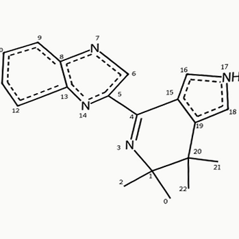 CC1(C)N=C(c2cnc3ccccc3n2)c2c[nH]cc2C1(C)C